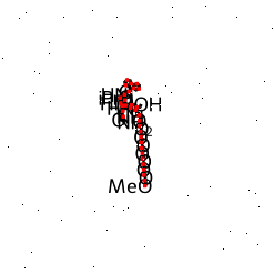 COCCOCCOCCOCCOCCOCCOCCOCCOCC#Cc1cc(NC(=O)C(CCCNC(N)=O)NC(=O)C(NC(=O)OCC2c3ccccc3-c3ccccc32)C(C)C)ccc1CO